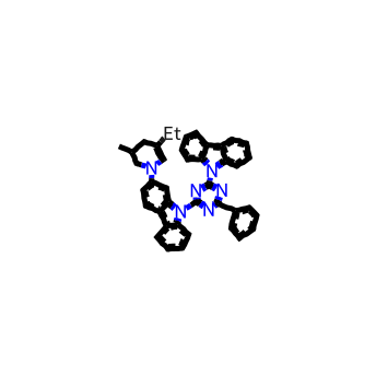 CCC1=CN(c2ccc3c4ccccc4n(-c4nc(-c5ccccc5)nc(-n5c6ccccc6c6ccccc65)n4)c3c2)CC(C)C1